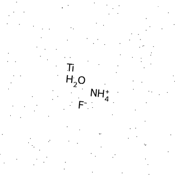 O.[F-].[NH4+].[Ti]